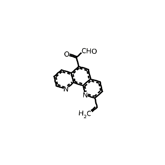 C=Cc1ccc2cc(C(=O)C=O)c3cccnc3c2n1